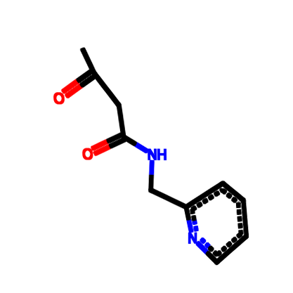 CC(=O)CC(=O)NCc1ccccn1